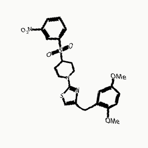 COc1ccc(OC)c(Cc2csc(N3CCC(S(=O)(=O)c4cccc([N+](=O)[O-])c4)CC3)n2)c1